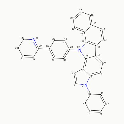 C1=CCC(n2ccc3c2ccc2c4ccc5ccccc5c4n(-c4ccc(C5=NCCC=C5)cc4)c23)C=C1